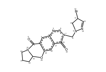 O=C1c2cc3nnn(CN4CC(Br)C=N4)c(=O)c3cc2OC2CCCN12